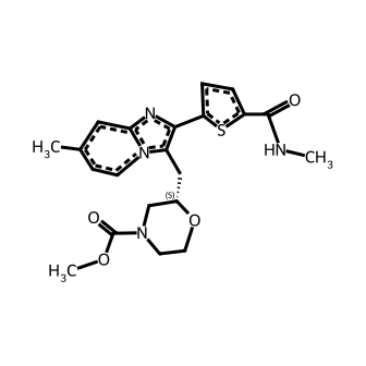 CNC(=O)c1ccc(-c2nc3cc(C)ccn3c2C[C@H]2CN(C(=O)OC)CCO2)s1